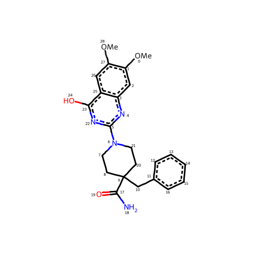 COc1cc2nc(N3CCC(Cc4ccccc4)(C(N)=O)CC3)nc(O)c2cc1OC